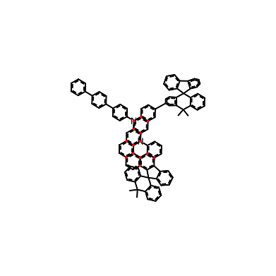 CC1(C)c2ccccc2C2(c3ccccc3-c3ccccc32)c2ccc(-c3ccc(N(c4ccc(-c5ccc(-c6ccccc6)cc5)cc4)c4ccc(-c5ccccc5-c5ccccc5N(c5ccccc5)c5ccccc5-c5ccc6c(c5)C5(c7ccccc7-6)c6ccccc6C(C)(C)c6ccccc65)cc4)cc3)cc21